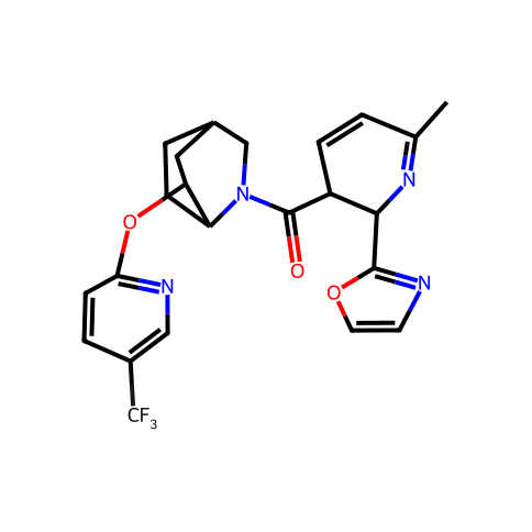 CC1=NC(c2ncco2)C(C(=O)N2CC3CCC2C(Oc2ccc(C(F)(F)F)cn2)C3)C=C1